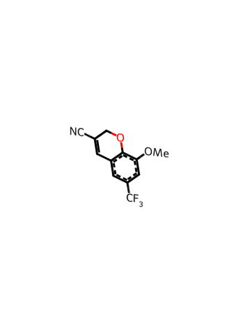 COc1cc(C(F)(F)F)cc2c1OCC(C#N)=C2